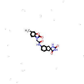 Cc1ccc2c(c1)oc(=O)n2CC(=O)Nc1ccc2c(c1)CC1(C2)NC(=O)NC1=O